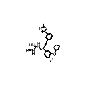 COc1ccc(C(C#Cc2cccc(-c3nnc(C)s3)c2)CNC(=N)NC#N)cc1OC1CCCC1